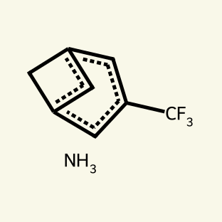 FC(F)(F)c1cc2cc(c1)C2.N